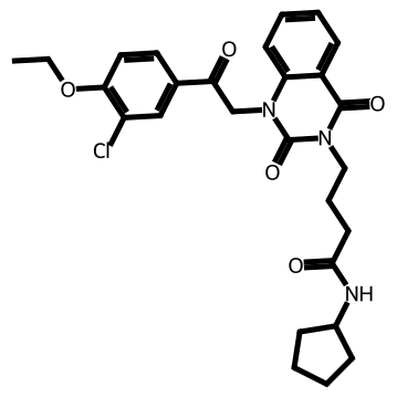 CCOc1ccc(C(=O)Cn2c(=O)n(CCCC(=O)NC3CCCC3)c(=O)c3ccccc32)cc1Cl